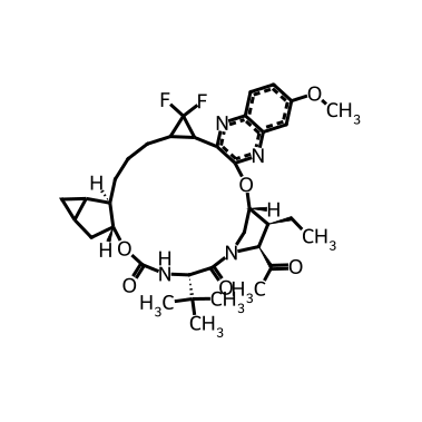 CC[C@@H]1[C@@H]2CN(C(=O)[C@H](C(C)(C)C)NC(=O)O[C@@H]3CC4CC4[C@H]3CCCC3C(c4nc5ccc(OC)cc5nc4O2)C3(F)F)[C@@H]1C(C)=O